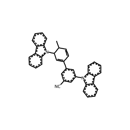 CC1C=CC(c2cc(C#N)cc(-n3c4ccccc4c4ccccc43)c2)=CC1n1c2ccccc2c2ccccc21